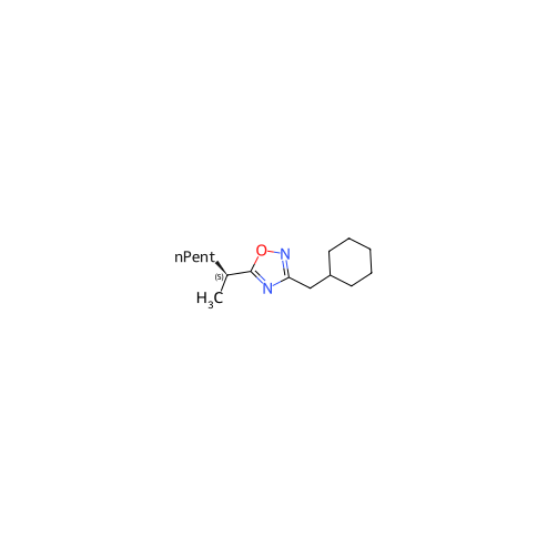 CCCCC[C@H](C)c1nc(CC2CCCCC2)no1